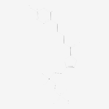 CC(N)(CCc1ccc(C(=O)CCCCc2ccc(Cl)cc2)s1)COP(=O)(O)O